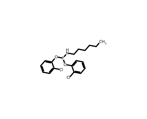 CCCCCCNP(Oc1ccccc1Cl)Oc1ccccc1Cl